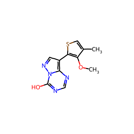 COc1c(C)csc1-c1cnn2c(O)ncnc12